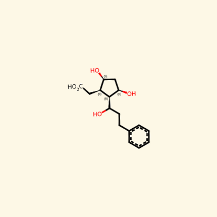 O=C(O)C[C@@H]1[C@H](C(O)CCc2ccccc2)[C@H](O)C[C@@H]1O